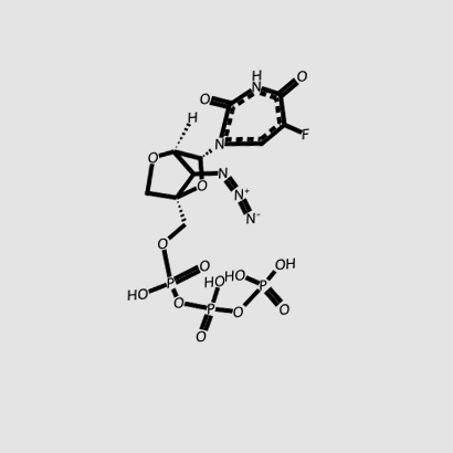 [N-]=[N+]=NC1[C@H]2OC[C@]1(COP(=O)(O)OP(=O)(O)OP(=O)(O)O)O[C@H]2n1cc(F)c(=O)[nH]c1=O